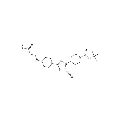 COC(=O)CCOC1CCN(C2=NN(C3CCN(C(=O)OC(C)(C)C)CC3)C(=C=O)S2)CC1